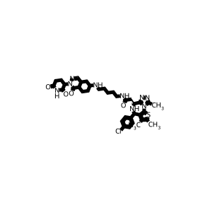 Cc1sc2c(c1C)C(c1ccc(Cl)cc1)N[C@@H](CC(=O)NCCCCCNC1CCC3C(=O)N(C4CCC(=O)NC4=O)N=CC3C1)c1nnc(C)n1-2